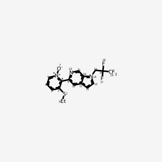 CCSc1ccc[n+]([O-])c1-c1cc2ccn(CC(F)(F)C(F)(F)F)c2cn1